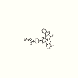 COC(=O)N1CCN(c2nc(N3CCO[C@@H](C)[C@@H]3C)nc(-n3c(C(F)F)nc4ccccc43)n2)CC1